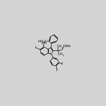 COCC(C)(C)c1c(-c2ccccc2C(=O)O)c2c(O)c(F)ccc2n1-c1ccc(F)c(F)c1